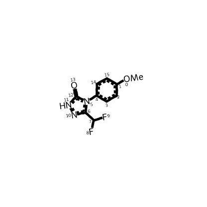 COc1ccc(-n2c(C(F)F)n[nH]c2=O)cc1